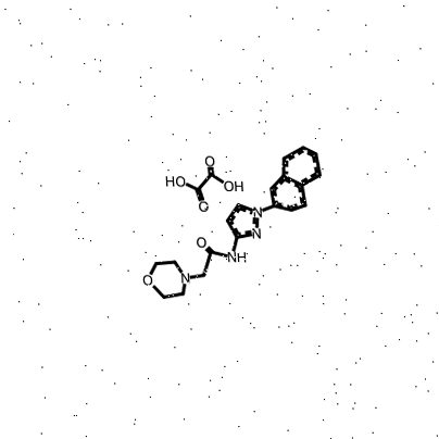 O=C(CN1CCOCC1)Nc1ccn(-c2ccc3ccccc3c2)n1.O=C(O)C(=O)O